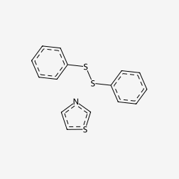 c1ccc(SSc2ccccc2)cc1.c1cscn1